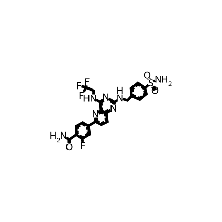 NC(=O)c1ccc(-c2ccc3nc(NCc4ccc(S(N)(=O)=O)cc4)nc(NCC(F)(F)F)c3n2)cc1F